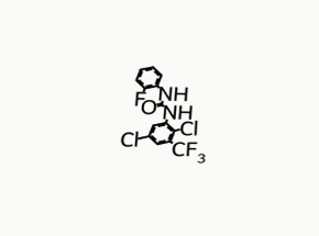 O=C(Nc1ccccc1F)Nc1cc(Cl)cc(C(F)(F)F)c1Cl